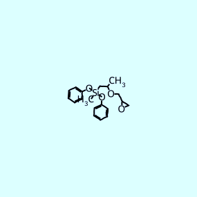 CC(C[Si](C)(Oc1ccccc1)Oc1ccccc1)OCC1CO1